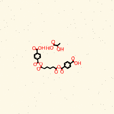 CC(O)C(=O)O.O=C(CCCCC(=O)OC(=O)c1ccc(C(=O)O)cc1)OC(=O)c1ccc(C(=O)O)cc1